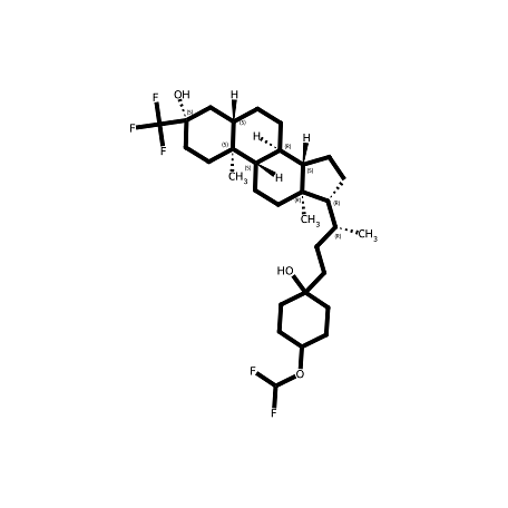 C[C@H](CCC1(O)CCC(OC(F)F)CC1)[C@H]1CC[C@H]2[C@@H]3CC[C@H]4C[C@](O)(C(F)(F)F)CC[C@]4(C)[C@H]3CC[C@]12C